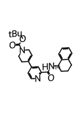 CC(C)(C)OC(=O)N1CC=C(c2ccnc(C(=O)N[C@@H]3CCCc4ccccc43)c2)CC1